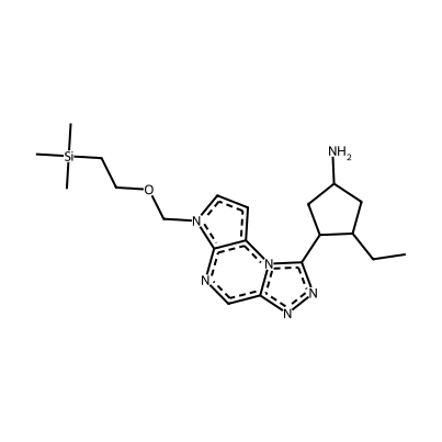 CCC1CC(N)CC1c1nnc2cnc3c(ccn3COCC[Si](C)(C)C)n12